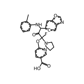 Cc1ccccc1NC(C(=O)C(F)(Oc1ccc(C(=O)O)cn1)N1CCCC1)c1ccc2ncoc2c1